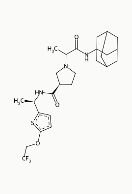 CC(C(=O)NC12CC3CC(CC(C3)C1)C2)N1CC[C@@H](C(=O)N[C@H](C)c2ccc(OCC(F)(F)F)s2)C1